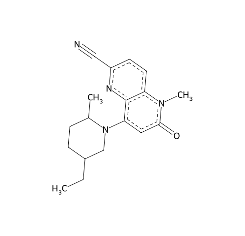 CCC1CCC(C)N(c2cc(=O)n(C)c3ccc(C#N)nc23)C1